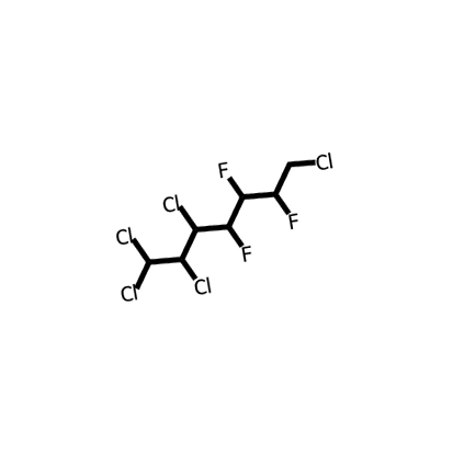 FC(CCl)C(F)C(F)C(Cl)C(Cl)C(Cl)Cl